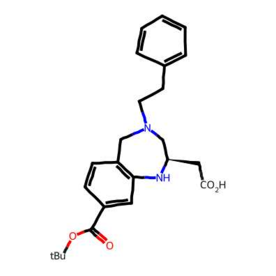 CC(C)(C)OC(=O)c1ccc2c(c1)N[C@H](CC(=O)O)CN(CCc1ccccc1)C2